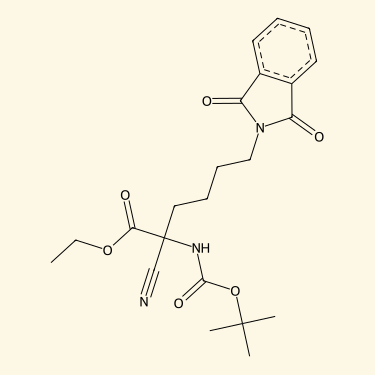 CCOC(=O)C(C#N)(CCCCN1C(=O)c2ccccc2C1=O)NC(=O)OC(C)(C)C